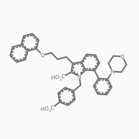 O=C(O)c1ccc(Cn2c(C(=O)O)c(CCCOc3cccc4ccccc34)c3cccc(-c4ccccc4N4CCOCC4)c32)cc1